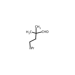 CCCC[CH]C(C)(C)C=O